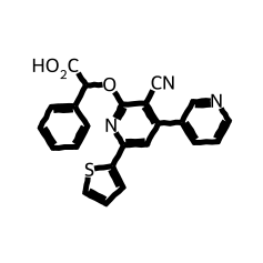 N#Cc1c(-c2cccnc2)cc(-c2cccs2)nc1OC(C(=O)O)c1ccccc1